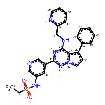 O=S(=O)(CC(F)(F)F)Nc1cncc(-c2nc(NCc3ccccn3)c3c(-c4ccccc4)ccn3n2)c1